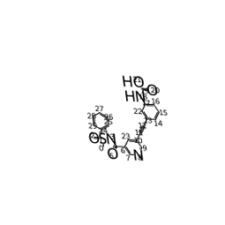 CS(=O)(=NC(=O)c1cncc(C#Cc2cccc(NC(=O)O)c2)c1)c1ccccc1